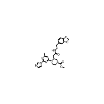 COC(=O)N1CCN(c2cc(C)nc(-n3ccnc3)n2)C(CC(=O)NCCc2ccc3c(c2)OCO3)C1